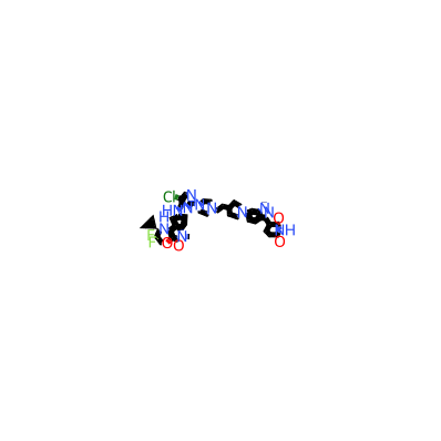 Cn1nc(C2CCC(=O)NC2=O)c2ccc(N3CCC(CCN4CCN(c5ncc(Cl)c(Nc6ccc7c(c6)c6c(c(=O)n7C)OCC(F)(F)[C@H](C7CC7)N6)n5)CC4)CC3)cc21